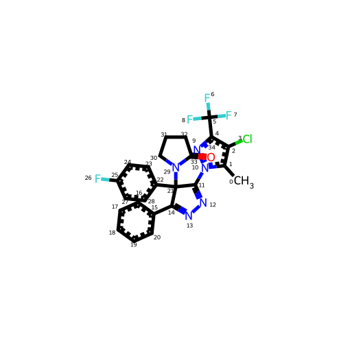 Cc1c(Cl)c(C(F)(F)F)nn1C1=NN=C(c2ccccc2)C1(c1ccc(F)cc1)N1CCCC1=O